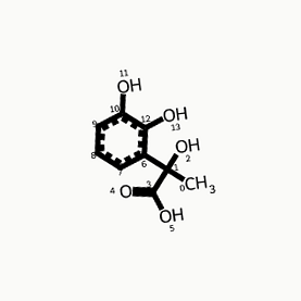 CC(O)(C(=O)O)c1cccc(O)c1O